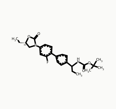 CCC(NC(=O)OC(C)(C)C)c1ccc(-c2ccc(N3C[C@H](CC)OC3=O)cc2F)cc1